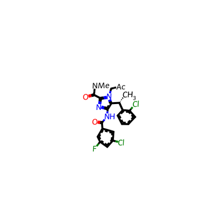 CNC(=O)c1nc(NC(=O)c2cc(F)cc(Cl)c2)c([C@H](C)c2ccccc2Cl)n1CC(C)=O